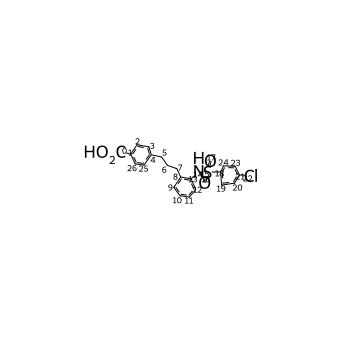 O=C(O)c1ccc(CCCc2ccccc2NS(=O)(=O)c2ccc(Cl)cc2)cc1